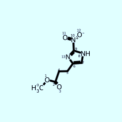 COC(=O)CCc1c[nH]c([N+](=O)[O-])n1